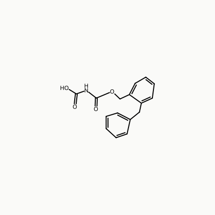 O=C(O)NC(=O)OCc1ccccc1Cc1ccccc1